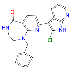 O=C1NCCN(Cc2ccccc2)c2nc(-c3c(Cl)[nH]c4ncccc34)ccc21